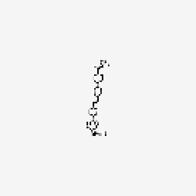 CCCCCC1COC(C2CCC(/C=C/C3CCC(C4CCC(/C(F)=C/C(F)(F)F)CC4)CC3)CC2)OC1